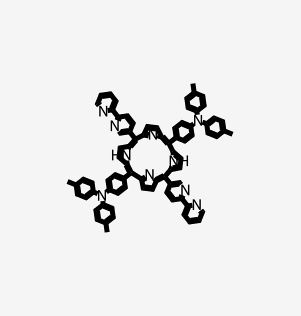 Cc1ccc(N(c2ccc(C)cc2)c2ccc(-c3c4nc(c(-c5ccc(-c6ccccn6)nc5)c5ccc([nH]5)c(-c5ccc(N(c6ccc(C)cc6)c6ccc(C)cc6)cc5)c5nc(c(-c6ccc(-c7ccccn7)nc6)c6ccc3[nH]6)C=C5)C=C4)cc2)cc1